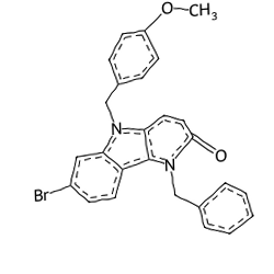 COc1ccc(Cn2c3cc(Br)ccc3c3c2ccc(=O)n3Cc2ccccc2)cc1